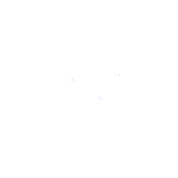 COc1nc2ccccc2nc1Br